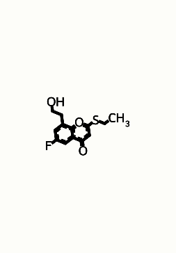 CCSc1cc(=O)c2cc(F)cc(CCO)c2o1